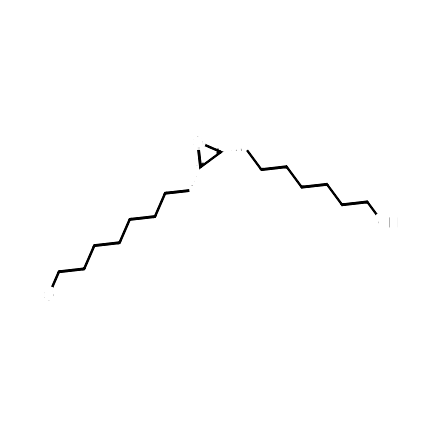 CCCCCCCC[C@H]1O[C@H]1CCCCCCCCO